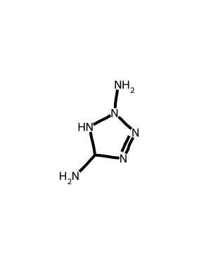 NC1N=NN(N)N1